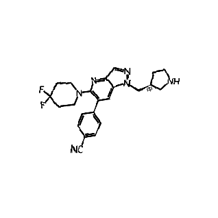 N#Cc1ccc(-c2cc3c(cnn3C[C@H]3CCNC3)nc2N2CCC(F)(F)CC2)cc1